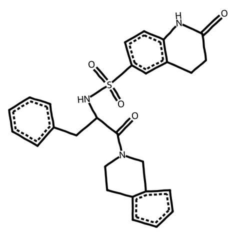 O=C1CCc2cc(S(=O)(=O)NC(Cc3ccccc3)C(=O)N3CCc4ccccc4C3)ccc2N1